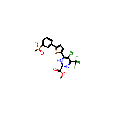 COC(=O)CN/C(=C(/Br)C(=N)C(F)(F)F)c1ccc(-c2cccc(S(C)(=O)=O)c2)s1